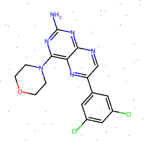 Nc1nc(N2CCOCC2)c2nc(-c3cc(Cl)cc(Cl)c3)cnc2n1